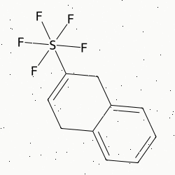 FS(F)(F)(F)(F)C1=CCc2ccccc2C1